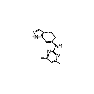 Cc1cc(C)nc(NC2=Cc3[nH]ncc3CC2)n1